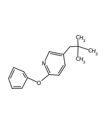 CC(C)(C)Cc1ccc(Oc2ccccc2)nc1